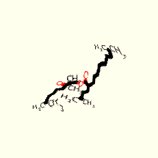 CC(C)CCCCCCCC(CCC(C)C)C(=O)OCC(C)(C)C(=O)CCCCC(C)C